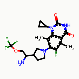 Cc1c(F)c(N2CCC(C(N)COC(F)(F)F)C2)c(C)c2c1c(=O)[nH]c(=O)n2C1CC1